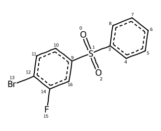 O=S(=O)(c1ccccc1)c1ccc(Br)c(F)c1